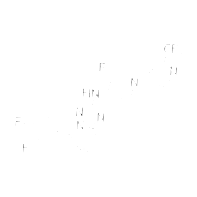 Fc1ccc(-c2cccc3nc(NC4CCN(c5ccnc(C(F)(F)F)c5)CC4F)nn23)cc1F